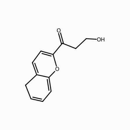 O=C(CCO)C1=CC=C2CC=CC=C2O1